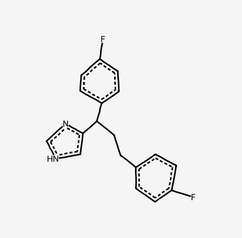 Fc1ccc(CCC(c2ccc(F)cc2)c2c[nH]cn2)cc1